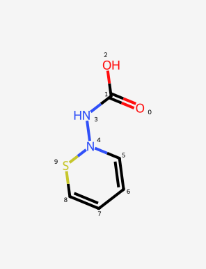 O=C(O)NN1C=CC=CS1